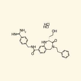 Cl.Cl.N=C(N)c1ccc(CNC(=O)c2ccc3c(c2)N[C@H](CCO)C(=O)N(CCc2ccccc2)C3)cc1